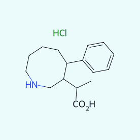 CC(C(=O)O)C1CNCCCCC1c1ccccc1.Cl